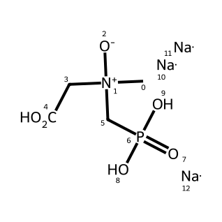 C[N+]([O-])(CC(=O)O)CP(=O)(O)O.[Na].[Na].[Na]